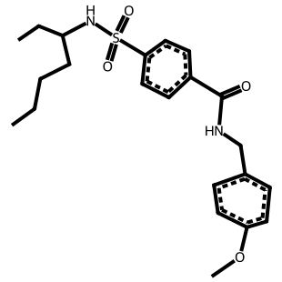 CCCCC(CC)NS(=O)(=O)c1ccc(C(=O)NCc2ccc(OC)cc2)cc1